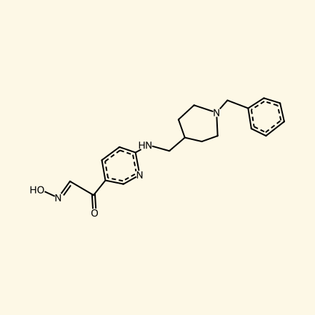 O=C(/C=N/O)c1ccc(NCC2CCN(Cc3ccccc3)CC2)nc1